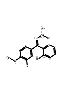 CC(C)(C)[S@+]([O-])N=C(c1ccc(OC(F)(F)F)c(F)c1)c1ncccc1Br